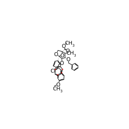 CCOc1ccc(Cc2cc([C@]34OC[C@](C(=O)OC)(O3)[C@@H](C)[C@H](OCc3ccccc3)[C@H]4OCc3ccccc3)ccc2Cl)cc1